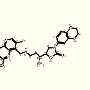 COc1ccc2ncc(F)c(CNCC[C@H](N)C3CN(c4ccc5c(c4)OCCO5)C(=O)O3)c2n1